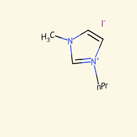 CCC[n+]1ccn(C)c1.[I-]